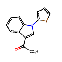 O=C(O)C(=O)c1cn(-c2cccs2)c2ccccc12